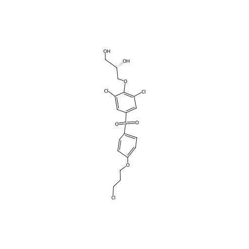 O=S(=O)(c1ccc(OCCCCl)cc1)c1cc(Cl)c(OC[C@@H](O)CO)c(Cl)c1